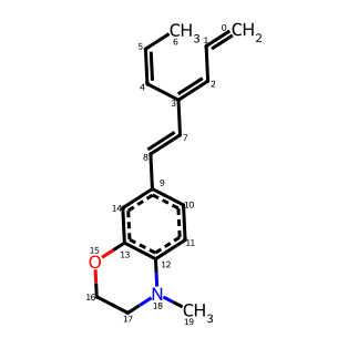 C=C/C=C(\C=C/C)/C=C/c1ccc2c(c1)OCCN2C